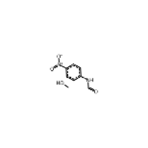 CO.O=CNc1ccc([N+](=O)[O-])cc1